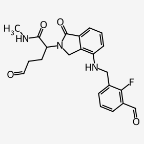 CNC(=O)C(CCC=O)N1Cc2c(NCc3cccc(C=O)c3F)cccc2C1=O